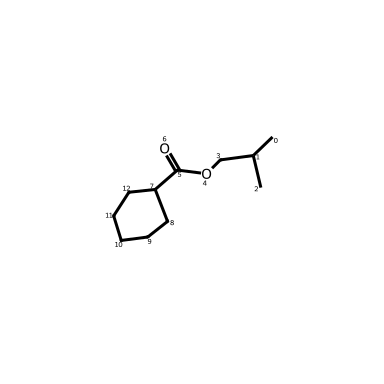 CC(C)COC(=O)C1CCCCC1